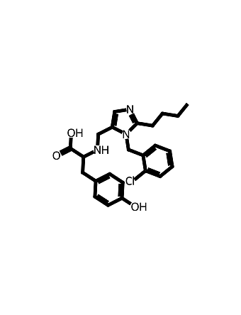 CCCCc1ncc(CNC(Cc2ccc(O)cc2)C(=O)O)n1Cc1ccccc1Cl